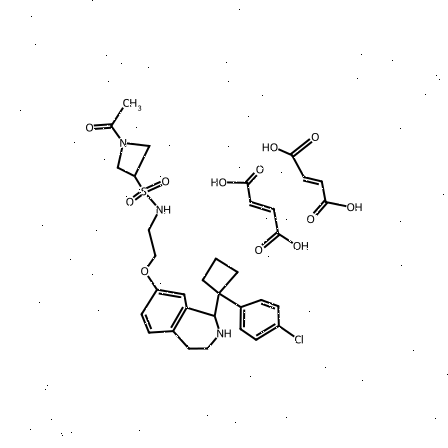 CC(=O)N1CC(S(=O)(=O)NCCOc2ccc3c(c2)C(C2(c4ccc(Cl)cc4)CCC2)NCC3)C1.O=C(O)C=CC(=O)O.O=C(O)C=CC(=O)O